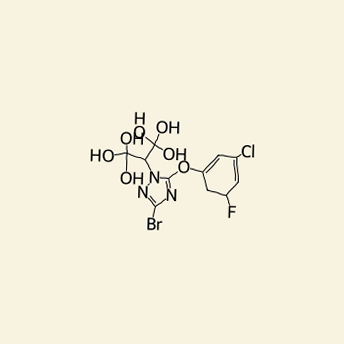 OC(O)(O)C(n1nc(Br)nc1OC1=CC(Cl)=CC(F)C1)C(O)(O)O